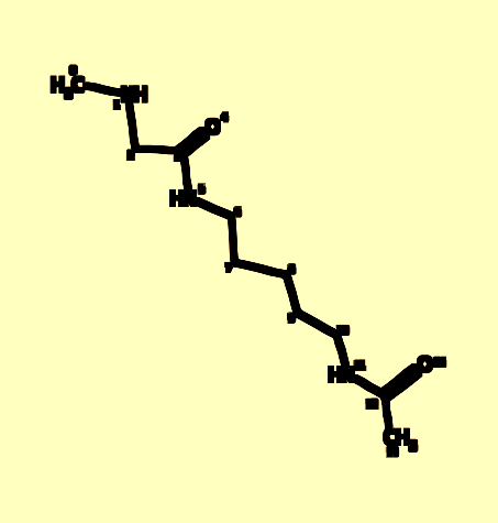 CNCC(=O)NCCCCCNC(C)=O